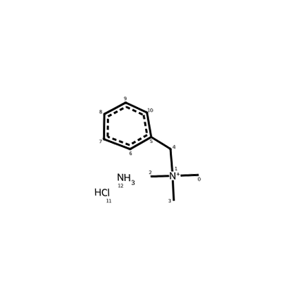 C[N+](C)(C)Cc1ccccc1.Cl.N